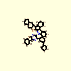 c1ccc(-c2cccc(-c3nc4c(nc3-n3c5ccccc5c5c6ccccc6c6c7cc8ccccc8cc7sc6c53)sc3ccccc34)c2)cc1